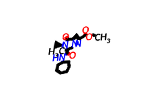 CCOC(=O)c1cc2n(n1)CC(C)(C(=O)NC1CCCCCC1)N(C1CC1)C2=O